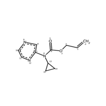 C=CCOC(=O)N(c1cnccn1)C1CC1